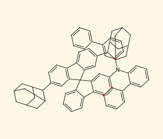 c1ccc(-c2cccc(N(c3ccc4c(c3)C3(c5ccccc5-4)c4cc(C5C6CC7CC(C6)CC5C7)ccc4-c4ccc(C5C6CC7CC(C6)CC5C7)cc43)c3ccccc3-c3ccccc3)c2)cc1